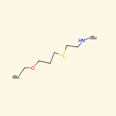 CC(C)(C)COCCCSCCNC(C)(C)C